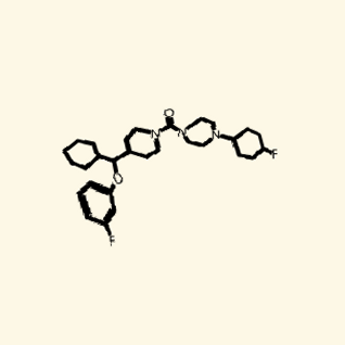 O=C(N1CCC(C(Oc2cccc(F)c2)C2CCCCC2)CC1)N1CCN(C2CCC(F)CC2)CC1